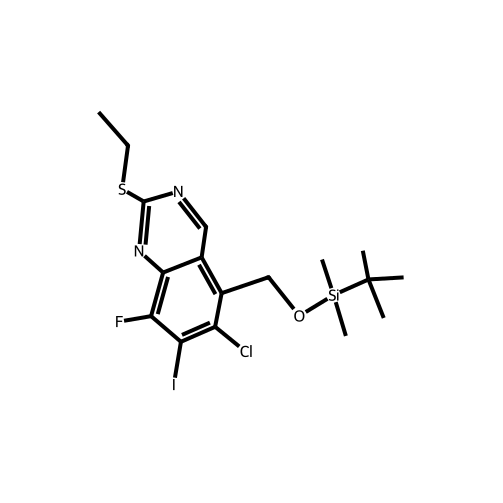 CCSc1ncc2c(CO[Si](C)(C)C(C)(C)C)c(Cl)c(I)c(F)c2n1